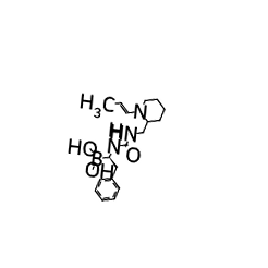 CC=CN1CCCCC1CNC(=O)N[C@@H](Cc1ccccc1)B(O)O